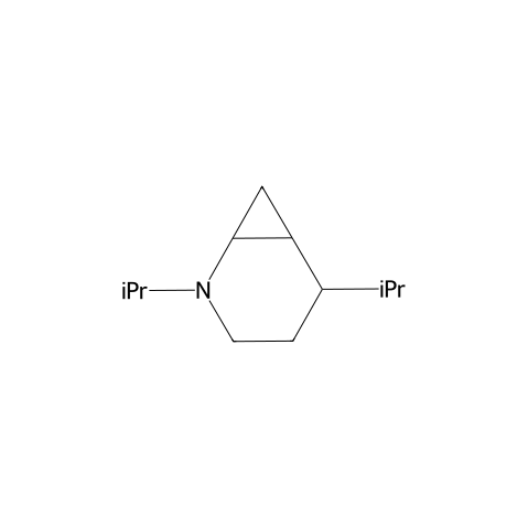 CC(C)C1CCN(C(C)C)C2CC12